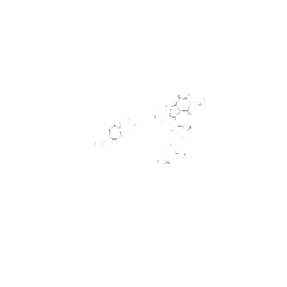 Cn1c(CCCCCCc2ccc(Cl)cc2)c(C(=O)CCCC(=O)O)c2cc(Cl)ccc21